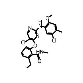 CCc1cccc(Oc2nc(Nc3cc(Cl)c(C)cc3OC)ncc2Cl)c1C(=O)NC